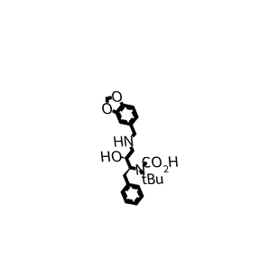 CC(C)(C)N(C(=O)O)[C@@H](Cc1ccccc1)[C@H](O)CNCc1ccc2c(c1)OCO2